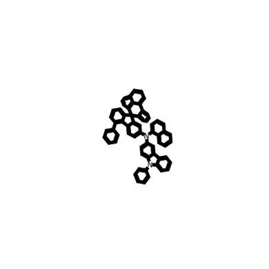 c1ccc(-c2cccc3c2-c2ccc(N(c4ccc5c(c4)c4ccccc4n5-c4ccccc4)c4cccc5ccccc45)cc2C32c3ccccc3-c3cccc4cccc2c34)cc1